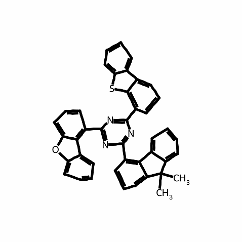 CC1(C)c2ccccc2-c2c(-c3nc(-c4cccc5c4sc4ccccc45)nc(-c4cccc5oc6ccccc6c45)n3)cccc21